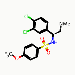 CNC[C@@H](NS(=O)(=O)c1ccc(OC(F)(F)F)cc1)c1ccc(Cl)c(Cl)c1